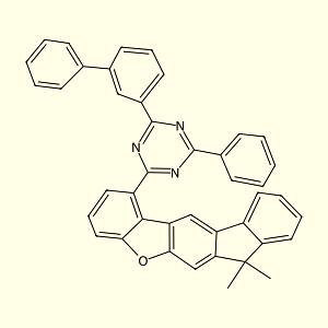 CC1(C)c2ccccc2-c2cc3c(cc21)oc1cccc(-c2nc(-c4ccccc4)nc(-c4cccc(-c5ccccc5)c4)n2)c13